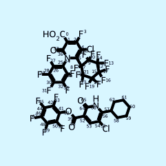 O=C(O)c1c(F)c(Cl)c(C2(F)C(F)(F)C(F)(F)C(F)(F)C(F)(F)C2(F)F)n(-c2c(F)c(F)c(F)c(F)c2F)c1=O.O=C(Oc1c(F)c(F)c(F)c(F)c1F)c1cc(Cl)c(C2CCCCC2)[nH]c1=O